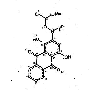 CCCN(OC(CC)OC)c1cc(O)c2c(c1O)C(=O)c1ccccc1C2=O